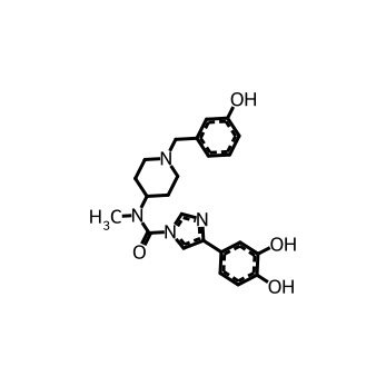 CN(C(=O)n1cnc(-c2ccc(O)c(O)c2)c1)C1CCN(Cc2cccc(O)c2)CC1